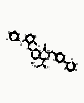 CC(C)C(=O)N1[C@H](C)CN(Cc2c(F)cccc2Oc2cccnc2)C[C@@H]1C(=O)NCc1ccc(-c2ncccn2)cc1